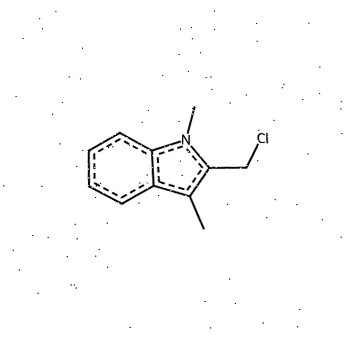 Cc1c(CCl)n(C)c2ccccc12